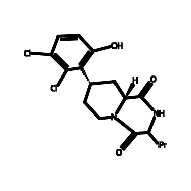 CC(C)C1NC(=O)[C@H]2C[C@@H](c3c(O)ccc(Cl)c3Cl)CCN2C1=O